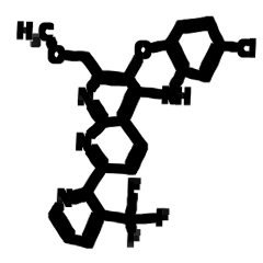 COCc1nc2nc(-c3ncccc3C(F)(F)F)ccc2c2c1Oc1ccc(Cl)cc1N2